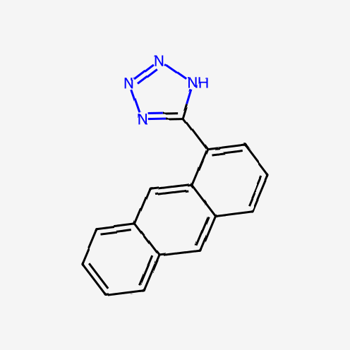 c1ccc2cc3c(-c4nnn[nH]4)cccc3cc2c1